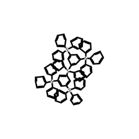 c1ccc(S(c2ccccc2)(c2ccccc2)c2cc(S(c3ccccc3)(c3ccccc3)c3ccccc3)cc(S(c3ccccc3)(c3ccccc3)c3cc(S(c4ccccc4)(c4ccccc4)c4ccccc4)cc(S(c4ccccc4)(c4ccccc4)c4ccccc4)c3)c2)cc1